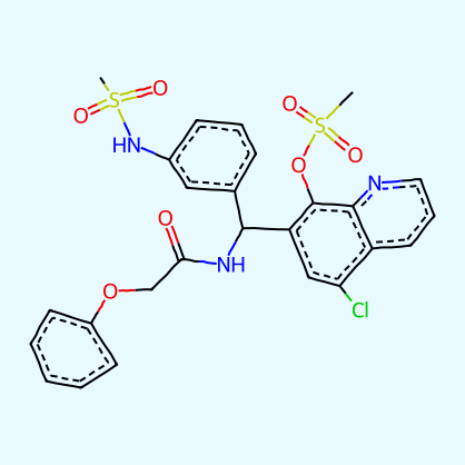 CS(=O)(=O)Nc1cccc(C(NC(=O)COc2ccccc2)c2cc(Cl)c3cccnc3c2OS(C)(=O)=O)c1